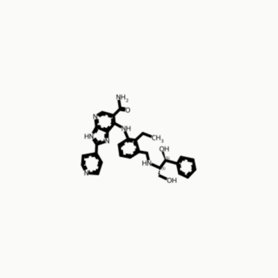 CCc1c(CN[C@@H](CO)[C@@H](O)c2ccccc2)cccc1Nc1c(C(N)=O)cnc2[nH]c(-c3ccncc3)nc12